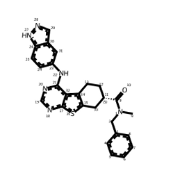 CN(Cc1ccccc1)C(=O)[C@H]1CCc2c(sc3ncnc(Nc4ccc5[nH]ncc5c4)c23)C1